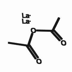 CC(=O)OC(C)=O.[La].[La]